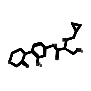 NC[C@H](NCC1CC1)C(=O)Nc1ccc(N2CCOCC2=O)c(C(F)(F)F)c1